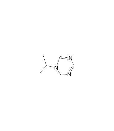 CC(C)N1C=NC=NC1